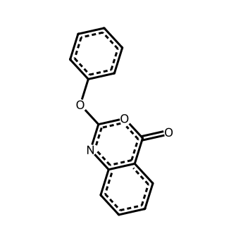 O=c1oc(Oc2ccccc2)nc2ccccc12